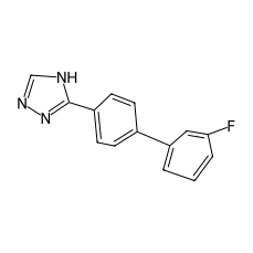 Fc1cccc(-c2ccc(-c3nnc[nH]3)cc2)c1